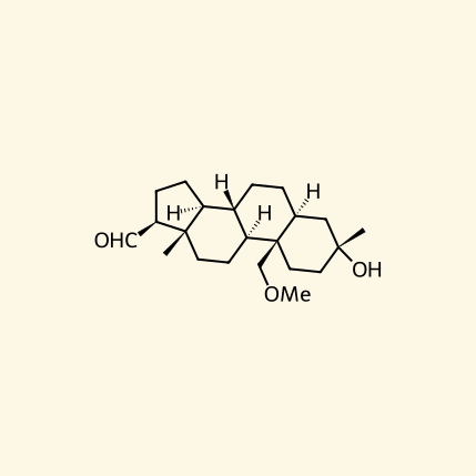 COC[C@]12CC[C@@](C)(O)C[C@@H]1CC[C@H]1[C@@H]3CC[C@H](C=O)[C@@]3(C)CC[C@@H]12